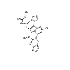 CC(Cc1oc2c(N(Cc3cccs3)C(=O)OC(C)(C)C)cc(Cl)nc2c1-c1cocn1)NC(=O)OC(C)(C)C